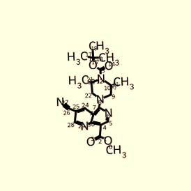 COC(=O)c1cnc(N2C[C@@H](C)N(C(=O)OC(C)(C)C)[C@@H](C)C2)c2cc(C#N)cnc12